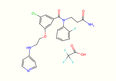 NC(=O)CCN(C(=O)c1cc(Cl)cc(OCCNc2ccncc2)c1)c1ccccc1F.O=C(O)C(F)(F)F